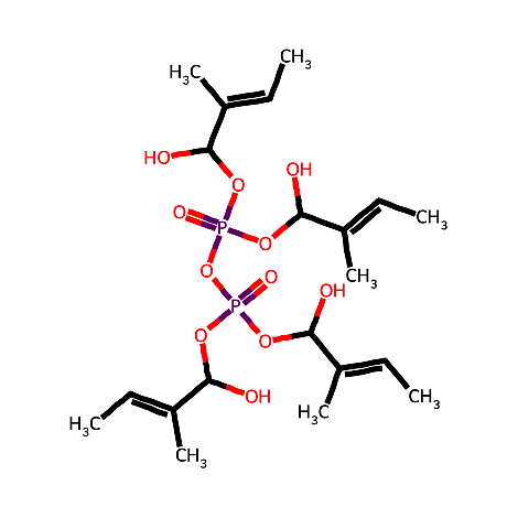 C/C=C(\C)C(O)OP(=O)(OC(O)/C(C)=C/C)OP(=O)(OC(O)/C(C)=C/C)OC(O)/C(C)=C/C